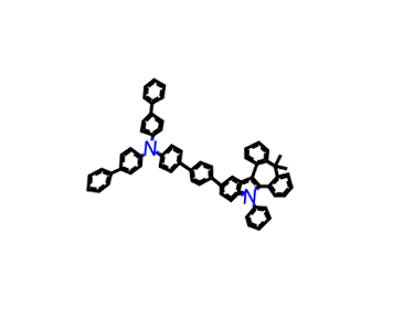 CC1(C)c2ccccc2-c2c(n(-c3ccccc3)c3ccc(-c4ccc(-c5ccc(N(c6ccc(-c7ccccc7)cc6)c6ccc(-c7ccccc7)cc6)cc5)cc4)cc23)-c2ccccc21